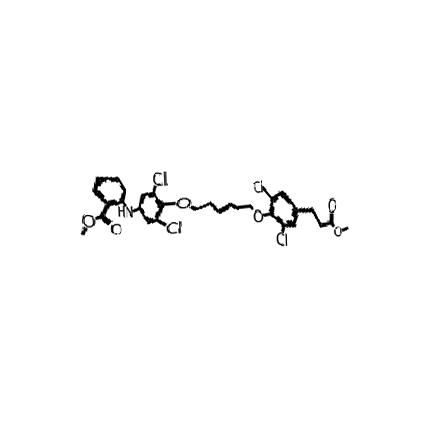 COC(=O)CCc1cc(Cl)c(OCC/C=C/CCOc2c(Cl)cc(Nc3ccccc3C(=O)OC)cc2Cl)c(Cl)c1